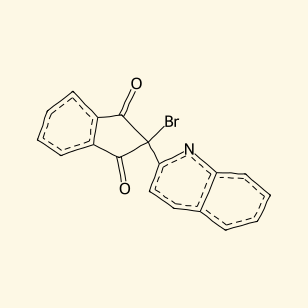 O=C1c2ccccc2C(=O)C1(Br)c1ccc2ccccc2n1